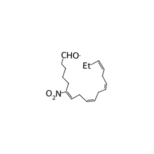 CC/C=C\C/C=C\C/C=C\C/C=C(\CCCC[C]=O)[N+](=O)[O-]